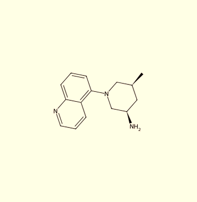 C[C@H]1C[C@@H](N)CN(c2cccc3ncccc23)C1